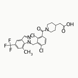 Cc1cc(C(F)(F)F)cc2cnn(Cc3c(Cl)ccc(C(=O)N4CCC(CC(=O)O)CC4)c3Cl)c12